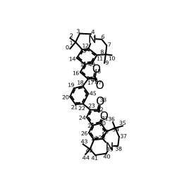 CC1(C)CCN2CCC(C)(C)c3c2c1cc1cc(-c2cccc(-c4cc5cc6c7c(c5oc4=O)C(C)(C)CCN7CCC6(C)C)c2)c(=O)oc31